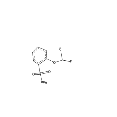 CCCCS(=O)(=O)c1ccccc1OC(F)F